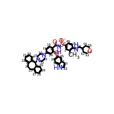 Cc1cc([S+]([O-])NC(=O)c2ccc(N3CCN(C4c5ccccc5CCc5ccccc54)CC3)cc2Oc2ccc3[nH]ccc3c2)ccc1NCC1CCOCC1